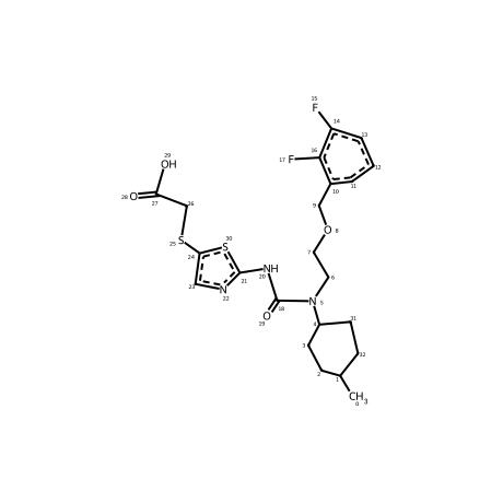 CC1CCC(N(CCOCc2cccc(F)c2F)C(=O)Nc2ncc(SCC(=O)O)s2)CC1